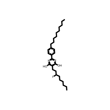 CCCCCCCCCCc1ccc(-c2nc(O)c(CCC(F)CCCCCC)c(O)n2)cc1